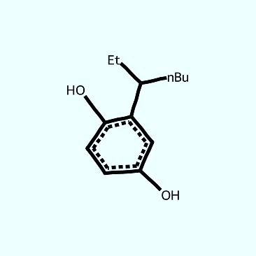 CCCCC(CC)c1cc(O)ccc1O